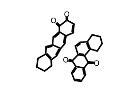 O=C1C=Cc2cc3cc4c(cc3cc2C1=O)CCCC4.O=C1c2ccccc2C(=O)c2c1ccc1c2CCCC1